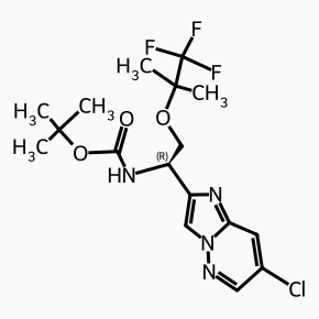 CC(C)(C)OC(=O)N[C@@H](COC(C)(C)C(F)(F)F)c1cn2ncc(Cl)cc2n1